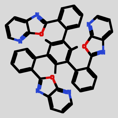 Cc1c(-c2ccccc2-c2nc3cccnc3o2)c(C)c(-c2ccccc2-c2nc3cccnc3o2)c(C)c1-c1ccccc1-c1nc2cccnc2o1